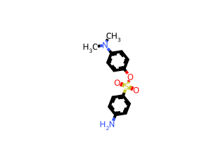 CN(C)c1ccc(OS(=O)(=O)c2ccc(N)cc2)cc1